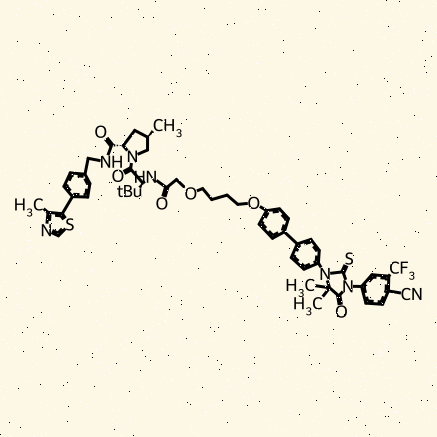 Cc1ncsc1-c1ccc(CNC(=O)[C@@H]2C[C@@H](C)CN2C(=O)[C@@H](NC(=O)COCCCCOc2ccc(-c3ccc(N4C(=S)N(c5ccc(C#N)c(C(F)(F)F)c5)C(=O)C4(C)C)cc3)cc2)C(C)(C)C)cc1